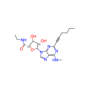 CCCCC#Cc1nc(NC)c2ncn(C3O[C@H](C(=O)NCC)C(O)[C@@H]3O)c2n1